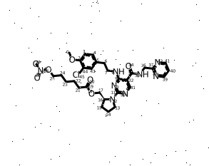 COc1ccc(CCNc2nc(N3CCC[C@H]3COC(=O)CCCCCO[N+](=O)[O-])ncc2C(=O)NCc2ncccn2)cc1Cl